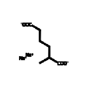 CC(CCCC(=O)[O-])C(=O)[O-].[Na+].[Na+]